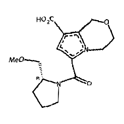 COC[C@H]1CCCN1C(=O)c1cc(C(=O)O)c2n1CCOC2